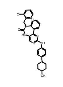 O=C1Nc2cnc(Nc3ccc(N4CCC(O)CC4)cc3)nc2-c2ccccc2N1Cc1c(Cl)cccc1Cl